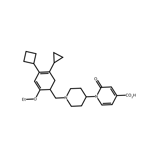 CCOC1=CC(C2CCC2)=C(C2CC2)CC1CN1CCC(n2ccc(C(=O)O)cc2=O)CC1